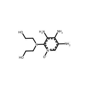 Nc1c[n+]([O-])c(N(CCO)CCO)c(N)c1N